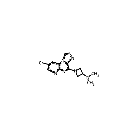 CN(C)C1CN(c2nc3ncc(Cl)cc3n3cnnc23)C1